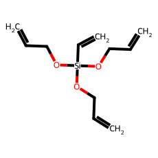 C=CCO[Si](C=C)(OCC=C)OCC=C